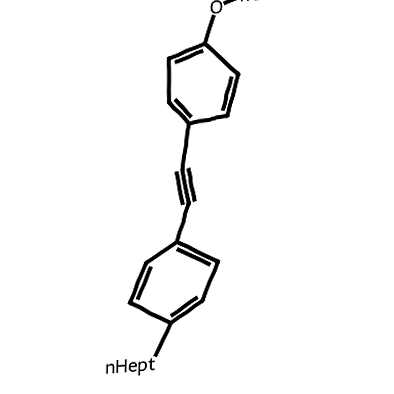 CCCCCCCCOc1ccc(C#Cc2ccc(CCCCCCC)cc2)cc1